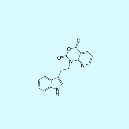 O=c1oc(=O)n(CCc2c[nH]c3ccccc23)c2ncccc12